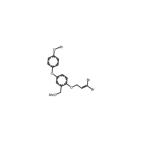 COCc1cc(Oc2ccc(OC(C)C)cc2)ccc1OCC=C(Br)Br